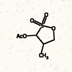 CC(=O)OC1C(C)COS1(=O)=O